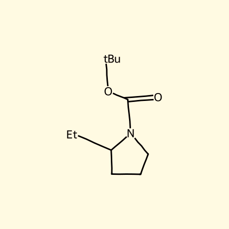 [CH2]CC1CCCN1C(=O)OC(C)(C)C